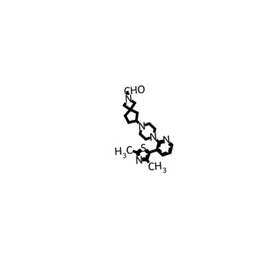 Cc1nc(C)c(-c2cccnc2N2CCN(C3CCC4(C3)CN(C=O)C4)CC2)s1